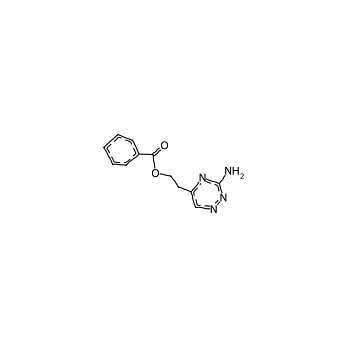 Nc1nncc(CCOC(=O)c2ccccc2)n1